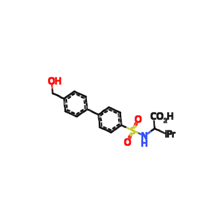 CC(C)C(NS(=O)(=O)c1ccc(-c2ccc(CO)cc2)cc1)C(=O)O